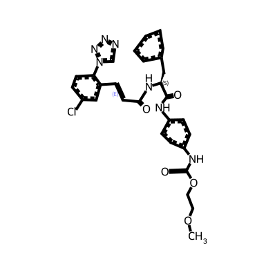 COCCOC(=O)Nc1ccc(NC(=O)[C@H](Cc2ccccc2)NC(=O)/C=C/c2cc(Cl)ccc2-n2cnnn2)cc1